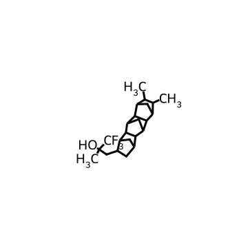 CC1C(C)C2CC1C1C3CC(C4C5CC(CC5CC(C)(O)C(F)(F)F)C34)C21